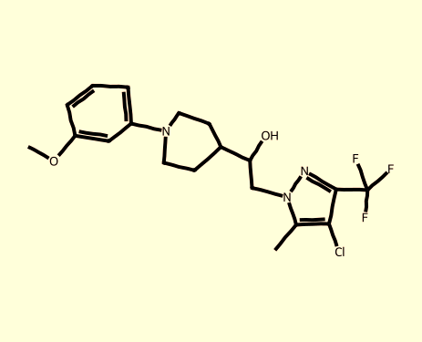 COc1cccc(N2CCC(C(O)Cn3nc(C(F)(F)F)c(Cl)c3C)CC2)c1